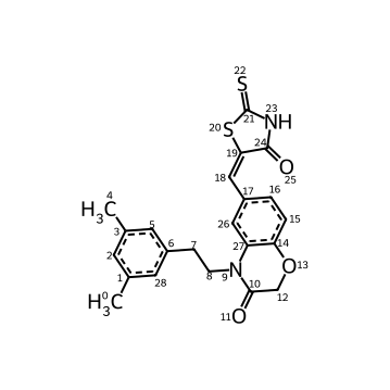 Cc1cc(C)cc(CCN2C(=O)COc3ccc(/C=C4/SC(=S)NC4=O)cc32)c1